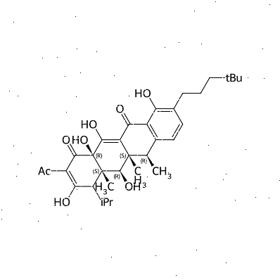 CC(=O)C1=C(O)C(C(C)C)[C@@]2(C)[C@H](O)[C@]3(C)C(=C(O)[C@@]2(O)C1=O)C(=O)c1c(ccc(CCCC(C)(C)C)c1O)[C@H]3C